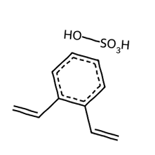 C=Cc1ccccc1C=C.O=S(=O)(O)O